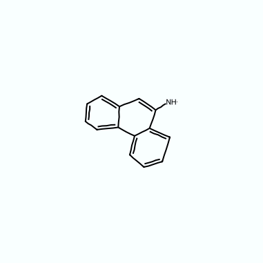 [NH]c1cc2ccccc2c2ccccc12